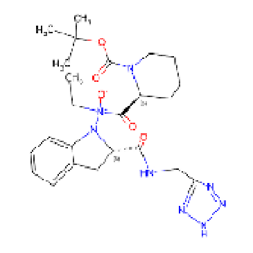 CC[N+]([O-])(C(=O)[C@@H]1CCCCN1C(=O)OC(C)(C)C)N1c2ccccc2C[C@H]1C(=O)NCc1nn[nH]n1